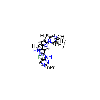 CCCc1ncc(F)c(Nc2n[nH]c3c2CN2C(N4CC(C)(C)N(C)C[C@@H]4C)=CCC32C)n1